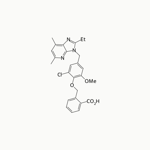 CCc1nc2c(C)cc(C)nc2n1Cc1cc(Cl)c(OCc2ccccc2C(=O)O)c(OC)c1